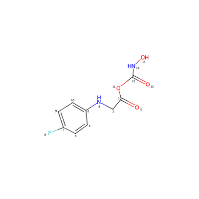 O=C(CNc1ccc(F)cc1)OC(=O)NO